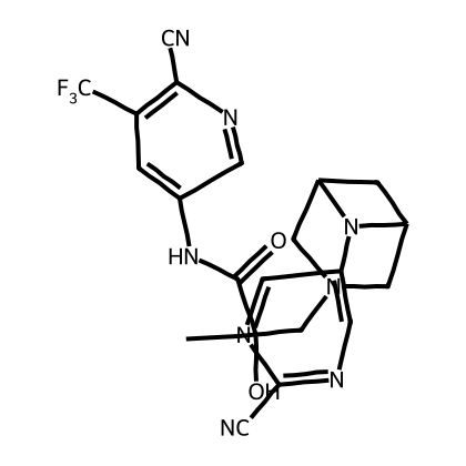 CC(O)(CN1CC2CC(C1)N2c1cnc(C#N)nc1)C(=O)Nc1cnc(C#N)c(C(F)(F)F)c1